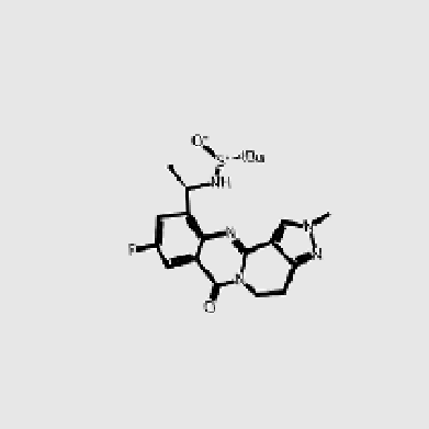 C[C@@H](N[S@+]([O-])C(C)(C)C)c1cc(F)cc2c(=O)n3c(nc12)-c1cn(C)nc1CC3